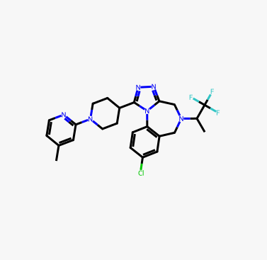 Cc1ccnc(N2CCC(c3nnc4n3-c3ccc(Cl)cc3CN(C(C)C(F)(F)F)C4)CC2)c1